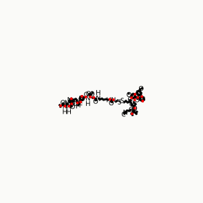 [C-]#[N+]CCOP(O[C@@H]1C[C@@H](COC(c2ccccc2)(c2ccc(OC)cc2)c2ccc(OC)cc2)N(C(=O)CCCSSCCNC(=O)CCCCCCNC(=O)CC[C@H](NC(=O)c2ccc(N(Cc3cnc4nc(NC(=O)C(C)C)[nH]c(=O)c4n3)C(=O)C(F)(F)F)cc2)C(=O)OC)C1)N(C(C)C)C(C)C